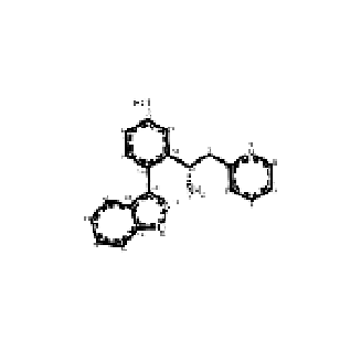 Cl.N[C@@H](Cc1ccccn1)c1ccccc1-c1noc2ccccc12